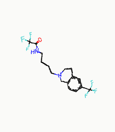 O=C(NCCCCN1CCc2cc(C(F)(F)F)ccc2C1)C(F)(F)F